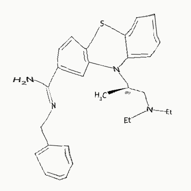 CCN(CC)C[C@@H](C)N1c2ccccc2Sc2ccc(C(N)=NCc3ccccc3)cc21